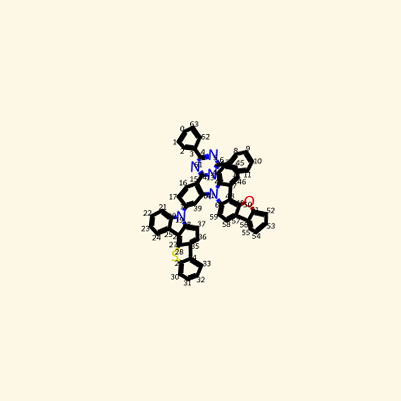 c1ccc(-c2nc(-c3ccccc3)nc(-c3ccc(-n4c5ccccc5c5c6sc7ccccc7c6ccc54)cc3-n3c4ccccc4c4c5oc6ccccc6c5ccc43)n2)cc1